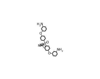 N.N.Nc1cccc(Oc2ccc(S(=O)(=O)c3ccc(Oc4cccc(N)c4)cc3)cc2)c1